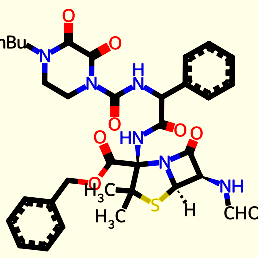 CCCCN1CCN(C(=O)NC(C(=O)N[C@@]2(C(=O)OCc3ccccc3)N3C(=O)[C@@H](NC=O)[C@H]3SC2(C)C)c2ccccc2)C(=O)C1=O